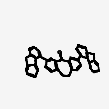 O=C1c2cc(-c3cccc4c3-c3ccccc3C4)ccc2CCc2ccc(-c3cccc4c3-c3ccccc3C4)cc21